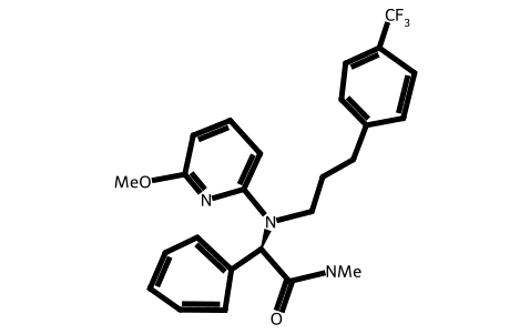 CNC(=O)[C@@H](c1ccccc1)N(CCCc1ccc(C(F)(F)F)cc1)c1cccc(OC)n1